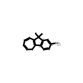 CC1(C)C2=C(CC=CC=C2)c2ccc(N)cc21